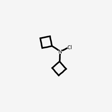 ClN(C1CCC1)C1CCC1